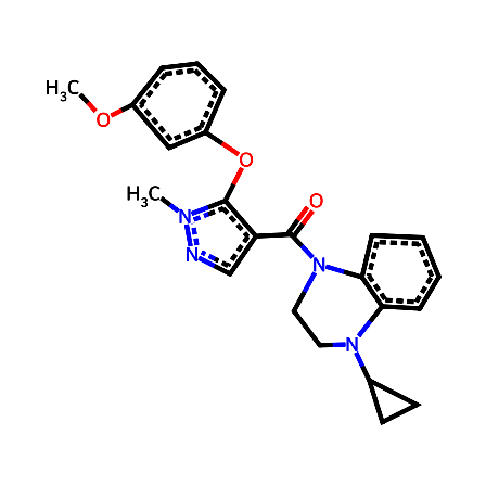 COc1cccc(Oc2c(C(=O)N3CCN(C4CC4)c4ccccc43)cnn2C)c1